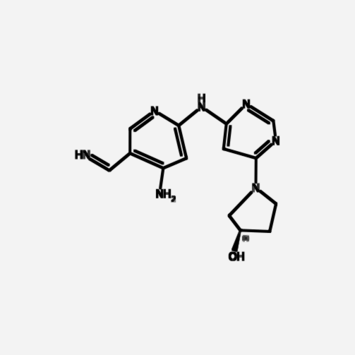 N=Cc1cnc(Nc2cc(N3CC[C@@H](O)C3)ncn2)cc1N